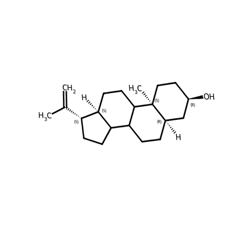 C=C(C)[C@H]1CCC2C3CC[C@@H]4C[C@H](O)CC[C@]4(C)C3CC[C@@H]21